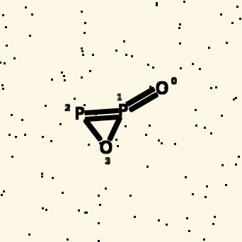 O=P1=PO1